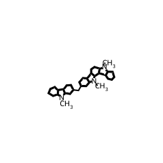 Cn1c2ccccc2c2ccc(Cc3ccc4c5ccc6c(c7ccccc7n6C)c5n(C)c4c3)cc21